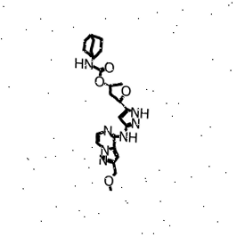 COCc1cc2c(Nc3cc([C@H]4C[C@@H](OC(=O)NC56CCC(CC5)CC6)CO4)[nH]n3)nccn2n1